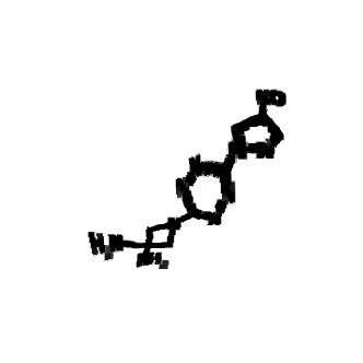 NC1(N)CN(c2nnc(-n3cc(N=O)cn3)nn2)C1